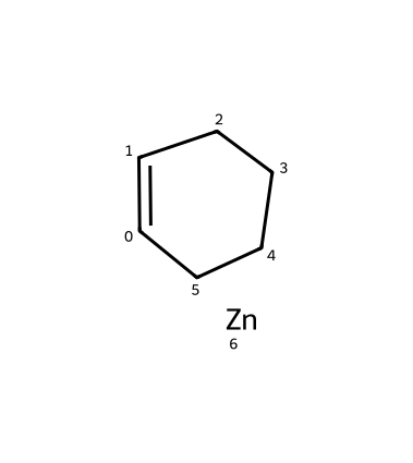 C1=CCCCC1.[Zn]